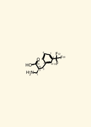 NC[C@H](Cc1cccc(C(F)(F)F)c1)C(=O)O